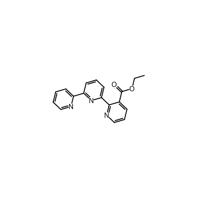 CCOC(=O)c1cccnc1-c1cccc(-c2ccccn2)n1